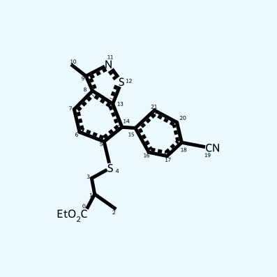 CCOC(=O)C(C)CSc1ccc2c(C)nsc2c1-c1ccc(C#N)cc1